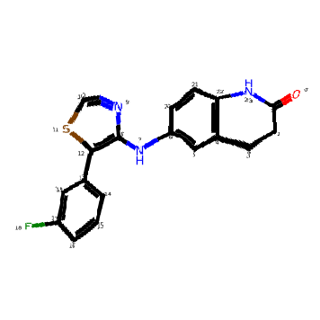 O=C1CCc2cc(Nc3ncsc3-c3cccc(F)c3)ccc2N1